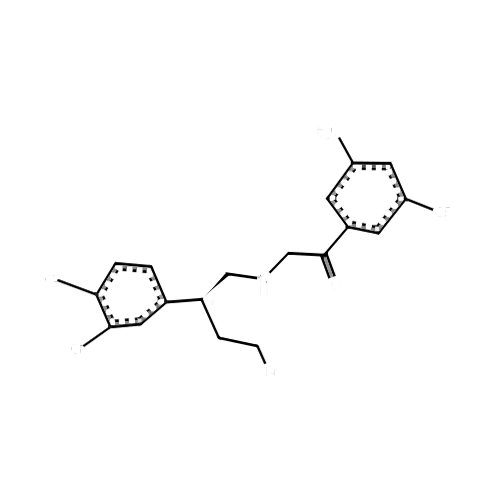 O=C(CNC[C@@H](CCBr)c1ccc(Cl)c(Cl)c1)c1cc(C(F)(F)F)cc(C(F)(F)F)c1